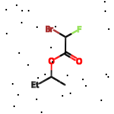 CCC(C)OC(=O)C(F)Br